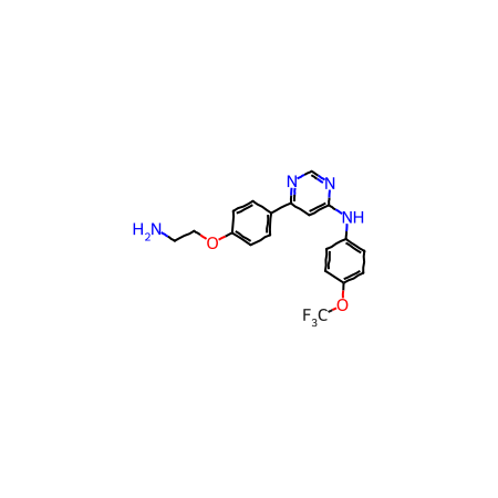 NCCOc1ccc(-c2cc(Nc3ccc(OC(F)(F)F)cc3)ncn2)cc1